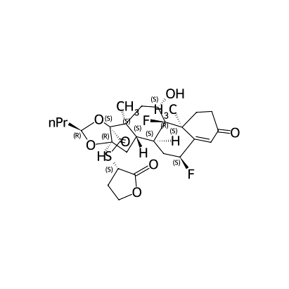 CCC[C@@H]1O[C@@H]2C[C@H]3[C@@H]4C[C@H](F)C5=CC(=O)CC[C@]5(C)[C@@]4(F)[C@@H](O)C[C@]3(C)[C@]2(C(=O)S[C@H]2CCOC2=O)O1